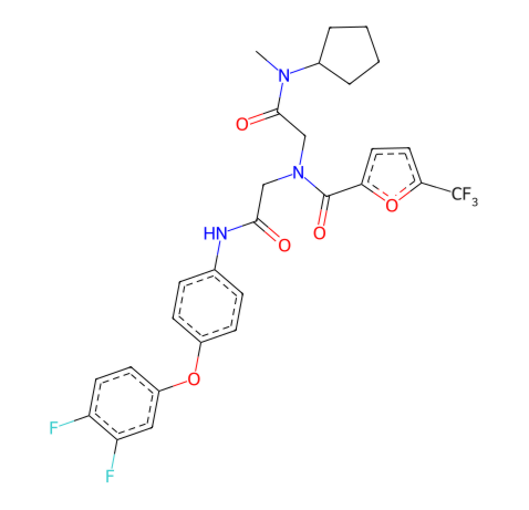 CN(C(=O)CN(CC(=O)Nc1ccc(Oc2ccc(F)c(F)c2)cc1)C(=O)c1ccc(C(F)(F)F)o1)C1CCCC1